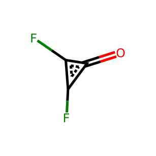 O=c1c(F)c1F